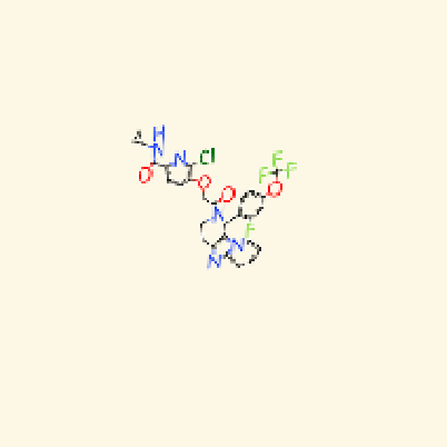 O=C(NC1CC1)c1ccc(OCC(=O)N2CCc3nc4ccccn4c3C2c2ccc(OC(F)(F)F)cc2F)c(Cl)n1